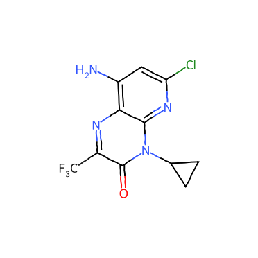 Nc1cc(Cl)nc2c1nc(C(F)(F)F)c(=O)n2C1CC1